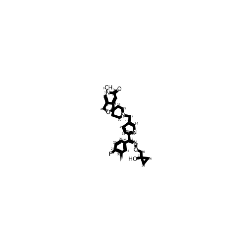 Cn1cc2c(cc1=O)C1(CCN(Cc3ccc(C(=NOCC4(O)CC4)c4ccc(F)c(F)c4)nc3)CC1)OC2